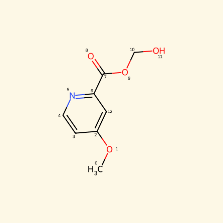 COc1ccnc(C(=O)OCO)c1